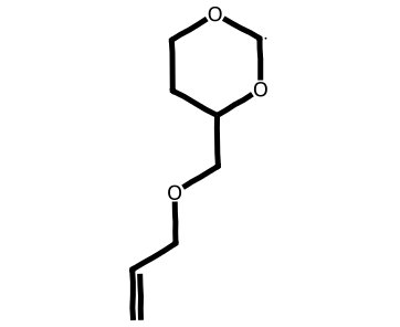 C=CCOCC1CCO[CH]O1